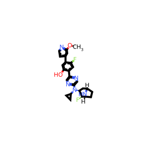 COc1cc(-c2cc(O)c(-c3cnc(N(C4CC4)[C@H]4C[C@@H]5CC[C@@H](N5)[C@H]4F)cn3)cc2F)ccn1